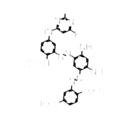 Nc1cc(N)c(/N=N/c2cc(S(=O)(=O)O)ccc2S(=O)(=O)O)cc1/N=N/c1cc(Nc2cc(F)nc(F)n2)ccc1S(=O)(=O)O